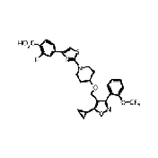 O=C(O)c1ccc(-c2csc(N3CCC(OCc4c(-c5ccccc5OC(F)(F)F)noc4C4CC4)CC3)n2)cc1F